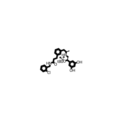 C[C@H](Cc1cccc(CCC(=O)NCc2ccccc2Cl)c1)NC[C@H](O[Si](C)(C)C(C)(C)C)c1cc(O)cc(O)c1